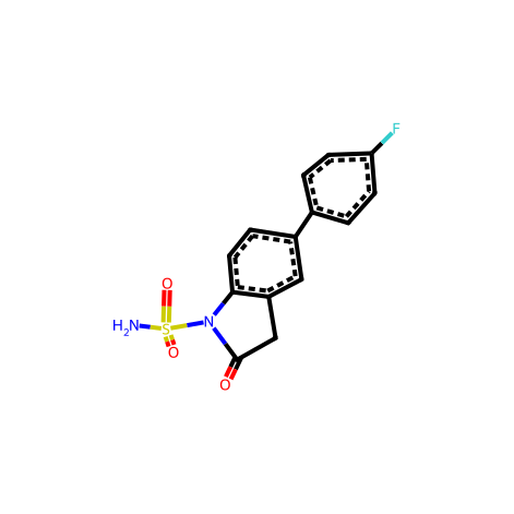 NS(=O)(=O)N1C(=O)Cc2cc(-c3ccc(F)cc3)ccc21